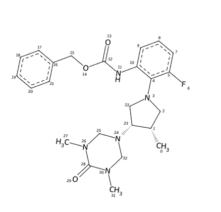 C[C@H]1CN(c2c(F)cccc2NC(=O)OCc2ccccc2)C[C@H]1N1CN(C)C(=O)N(C)C1